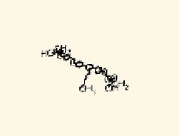 C=C(CO)C(=O)OCCOc1ccc(-c2ccc(-c3ccc(OCc4ccc(OC(=O)C(=C)CO)cc4)cc3)cc2CCCCCCC)cc1